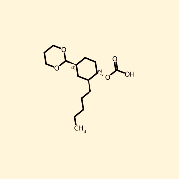 CCCCCC1C[C@@H](C2OCCCO2)CC[C@@H]1OC(=O)O